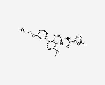 COCCOc1cccc(-c2ccc(OC)c3nc(NC(=O)c4cnc(C)o4)cnc23)c1